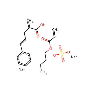 C=C(CC=Cc1ccccc1)C(=O)O.C=CC(=O)OCCCC.O=S(=O)([O-])[O-].[Na+].[Na+]